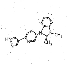 C=C1N(C)c2ccccc2N1c1ccc(-c2cn[nH]c2)nc1